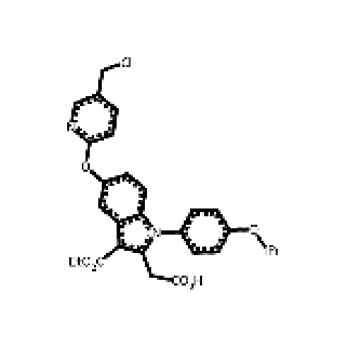 CCOC(=O)c1c(CC(=O)O)n(-c2ccc(OC(C)C)cc2)c2ccc(Oc3ccc(CCl)cn3)cc12